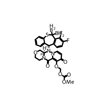 BC1(B)Sc2ccccc2[C@@H](N2[C@@H]3COCCN3C(=O)c3c(OCOC(=O)OC)c(=O)ccn32)c2ccc(F)c(F)c21